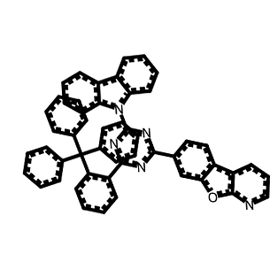 c1ccc(C(c2ccccc2)(c2ccccc2)c2ccccc2-c2nc(-c3ccc4c(c3)oc3ncccc34)nc(-n3c4ccccc4c4ccccc43)n2)cc1